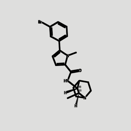 C[C@H]1[C@H](NC(=O)c2ccc(-c3cccc(Br)c3)n2C)C2CCN1CC2